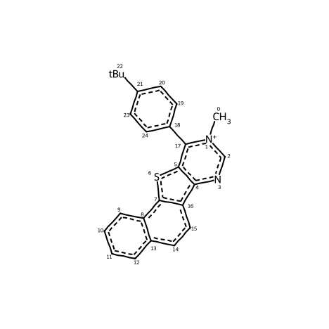 C[n+]1cnc2c(sc3c4ccccc4ccc23)c1-c1ccc(C(C)(C)C)cc1